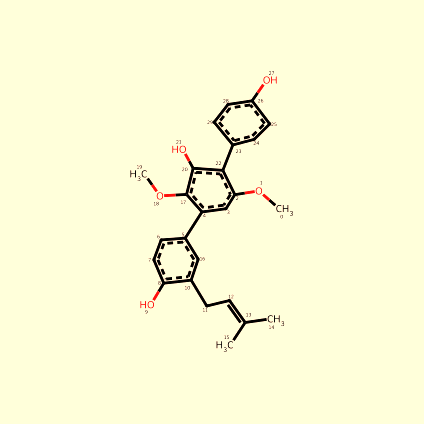 COc1cc(-c2ccc(O)c(CC=C(C)C)c2)c(OC)c(O)c1-c1ccc(O)cc1